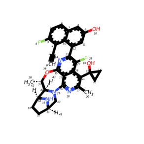 C#Cc1c(F)ccc2cc(O)cc(-c3nc4c5c(nc(C)c(C6(O)CC6)c5c3F)N3C[C@H]5CC[C@H](N5)[C@H]3[C@H](C)O4)c12